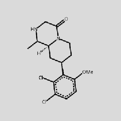 COc1ccc(Cl)c(Cl)c1[C@@H]1CCN2C(=O)CNC(C)[C@@H]2C1